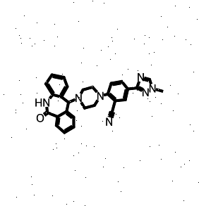 Cn1cnc(-c2ccc(N3CCN(C4c5ccccc5NC(=O)c5ccccc54)CC3)c(C#N)c2)n1